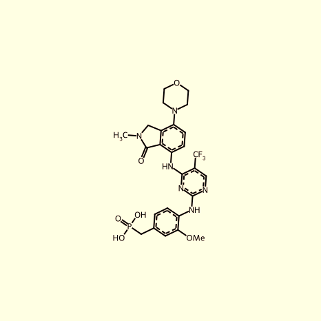 COc1cc(CP(=O)(O)O)ccc1Nc1ncc(C(F)(F)F)c(Nc2ccc(N3CCOCC3)c3c2C(=O)N(C)C3)n1